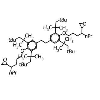 CCCC(CCCOc1c(C(C)(C)CC(C)(C)C)cc(CCc2cc(C(C)(C)CC(C)(C)C)c(OCCCC(CCC)C3CO3)c(C(C)(C)CC(C)(C)C)c2)cc1C(C)(C)CC(C)(C)C)C1CO1